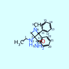 CCNC1(C(N)=O)CN(C)C1(c1ccccc1)c1ccccc1